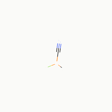 [2H]P(F)C#N